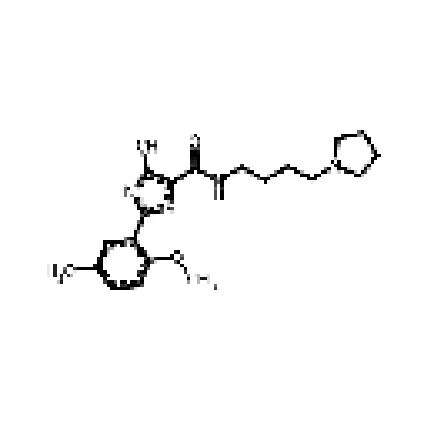 COc1ccc(C)cc1-c1nc(C)c(C(=O)NCCCCN2CCCC2)s1